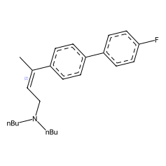 CCCCN(C/C=C(/C)c1ccc(-c2ccc(F)cc2)cc1)CCCC